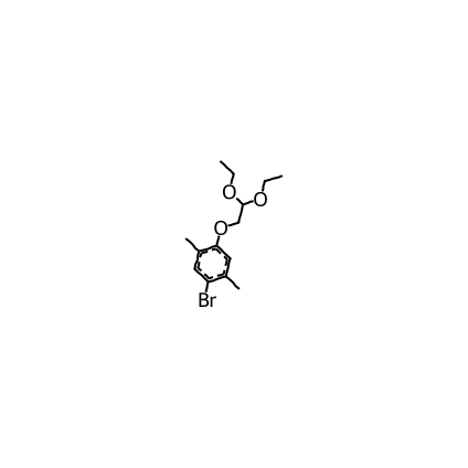 CCOC(COc1cc(C)c(Br)cc1C)OCC